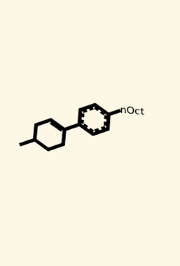 CCCCCCCCc1ccc(C2=CCC(C)CC2)cc1